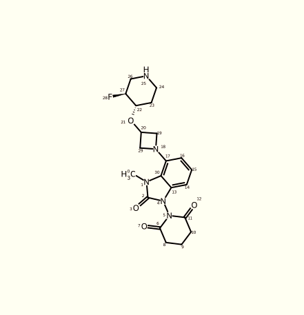 Cn1c(=O)n(N2C(=O)CCCC2=O)c2cccc(N3CC(O[C@H]4CCNC[C@@H]4F)C3)c21